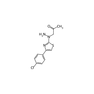 CC(=O)CN(N)c1nc(-c2ccc(Cl)cc2)cs1